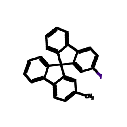 Cc1ccc2c(c1)C1(c3ccccc3-2)c2ccccc2-c2ccc(I)cc21